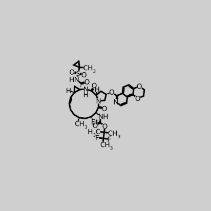 CC[C@@H]1C[C@@H](C)CC/C=C\[C@@H]2C[C@@]2(C(=O)NS(=O)(=O)C2(C)CC2)NC(=O)[C@@H]2C[C@@H](Oc3nccc4c5c(ccc34)OCCO5)CN2C(=O)[C@H]1NC(=O)OC(C)(C)C(C)(F)F